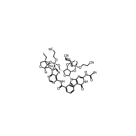 CC(C)C(=O)Nc1nc2c(ncn2[C@@H]2O[C@H](COP(=O)(OCCC#N)O[C@H]3[C@H]4OC[C@]3(CI)O[C@H]4n3cnc4c(NC(=O)c5ccccc5)ncnc43)[C@@H](O[Si](C)(C)C(C)(C)C)[C@H]2OP(=S)(OCCC#N)OCCC#N)c(=O)[nH]1